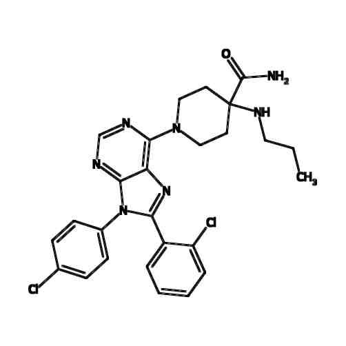 CCCNC1(C(N)=O)CCN(c2ncnc3c2nc(-c2ccccc2Cl)n3-c2ccc(Cl)cc2)CC1